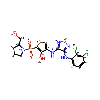 O=S(=O)(c1scc(Nc2nsnc2Nc2cccc(Cl)c2Cl)c1O)N1CCCC1CO